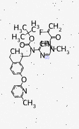 C=C(F)C(=O)NN(C)/C=N\C(=C)N(CCc1cc(Oc2cccc(C)n2)ccc1CC)C(=O)OC(C)(C)C